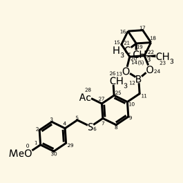 COc1ccc(CSc2ccc(CB3OC4CC5CC(C5(C)C)[C@]4(C)O3)c(C)c2C(C)=O)cc1